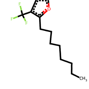 CCCCCCCCc1occc1C(F)(F)F